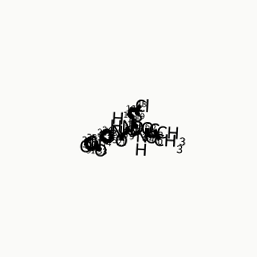 CC(C)(C)OC(=O)NCC[C@@H](NC(=O)c1ccc(Cl)s1)C(=O)Nc1ccc(N2CCOCC2=O)cc1